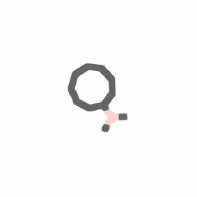 CB(C)C1CCCCCCCC1